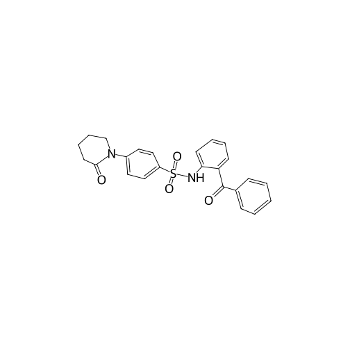 O=C(c1ccccc1)c1ccccc1NS(=O)(=O)c1ccc(N2CCCCC2=O)cc1